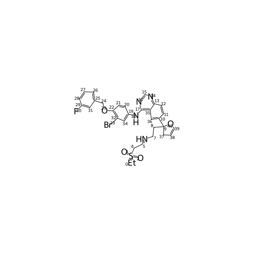 CCS(=O)(=O)CCNCCC1(c2ccc3ncnc(Nc4ccc(OCc5cccc(F)c5)c(Br)c4)c3c2)CC=CO1